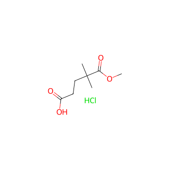 COC(=O)C(C)(C)CCC(=O)O.Cl